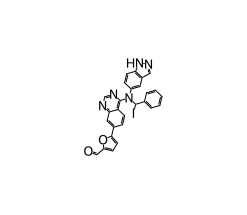 O=Cc1ccc(-c2ccc3c(N(c4ccc5[nH]ncc5c4)C(I)c4ccccc4)ncnc3c2)o1